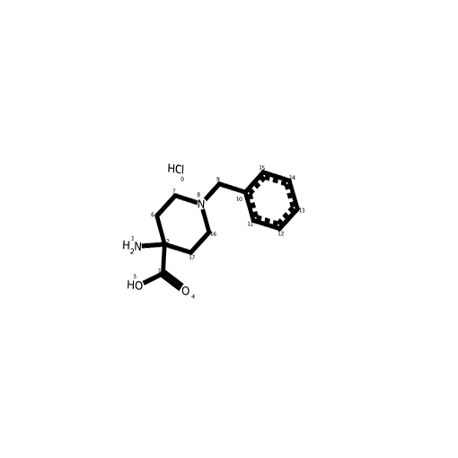 Cl.NC1(C(=O)O)CCN(Cc2ccccc2)CC1